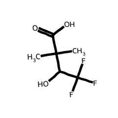 CC(C)(C(=O)O)C(O)C(F)(F)F